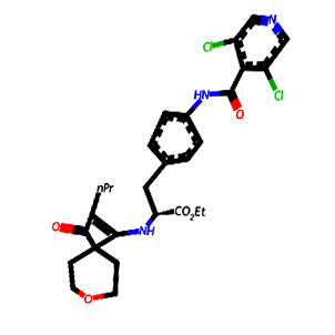 CCCC1=C(N[C@@H](Cc2ccc(NC(=O)c3c(Cl)cncc3Cl)cc2)C(=O)OCC)C2(CCOCC2)C1=O